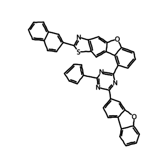 c1ccc(-c2nc(-c3ccc4c(c3)oc3ccccc34)nc(-c3cccc4oc5cc6nc(-c7ccc8ccccc8c7)sc6cc5c34)n2)cc1